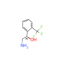 NC[C@H](O)c1ccccc1C(F)(F)F